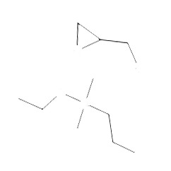 CCC[Si](C)(C)OCC.[O]CC1CO1